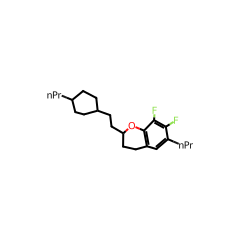 CCCc1cc2c(c(F)c1F)OC(CCC1CCC(CCC)CC1)CC2